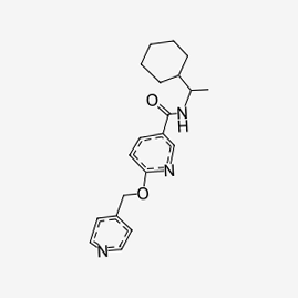 CC(NC(=O)c1ccc(OCc2ccncc2)nc1)C1CCCCC1